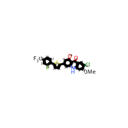 COc1cc2[nH]c3c(c(=O)c2cc1Cl)C(=O)CC(c1ccc(-c2ccc(C(F)(F)F)cc2F)s1)C3